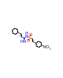 N=C(/C=C/c1ccccc1)NS(=O)(=O)/C=C/c1ccc([N+](=O)[O-])cc1